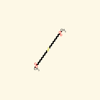 CCOC(=O)CCCCCCCCCCCCSSCCCCCCCCCCCCC(=O)OCC